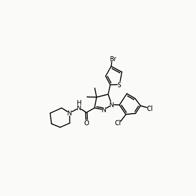 CC1(C)C(C(=O)NN2CCCCC2)=NN(c2ccc(Cl)cc2Cl)C1c1cc(Br)cs1